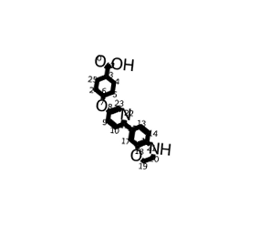 O=C(O)C1CCC(Oc2ccc(-c3ccc4c(c3)OCCN4)nc2)CC1